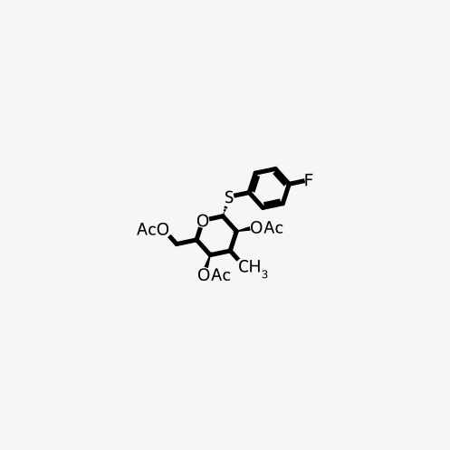 CC(=O)OCC1O[C@H](Sc2ccc(F)cc2)[C@@H](OC(C)=O)C(C)[C@H]1OC(C)=O